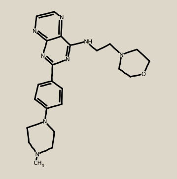 CN1CCN(c2ccc(-c3nc(NCCN4CCOCC4)c4nccnc4n3)cc2)CC1